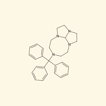 c1ccc(C(c2ccccc2)(c2ccccc2)N2CCN3CCN4CCN(CC2)C43)cc1